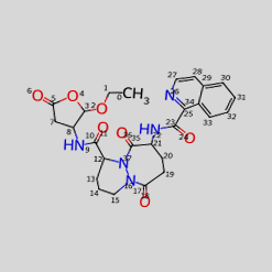 CCOC1OC(=O)CC1NC(=O)C1CCCN2C(=O)CCC(NC(=O)c3nccc4ccccc34)C(=O)N12